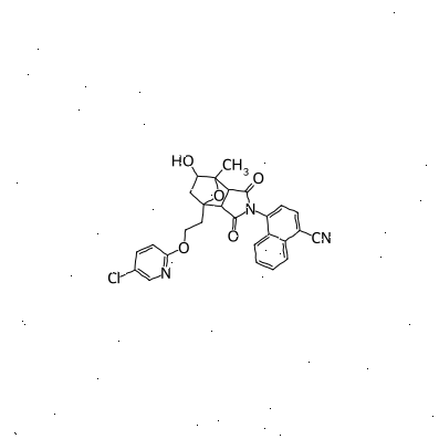 CC12OC(CCOc3ccc(Cl)cn3)(CC1O)C1C(=O)N(c3ccc(C#N)c4ccccc34)C(=O)C12